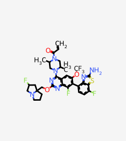 C=CC(=O)N1CC(C)N(c2nc(OCC34CCCN3CC(F)C4)nc3c(F)c(-c4ccc(F)c5sc(N)nc45)c(OC(F)(F)F)cc23)CC1C